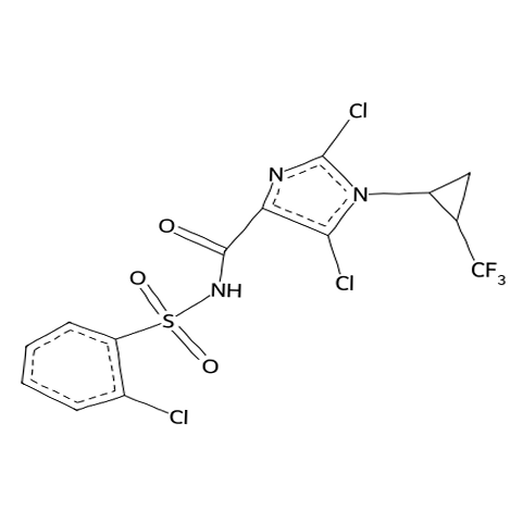 O=C(NS(=O)(=O)c1ccccc1Cl)c1nc(Cl)n(C2CC2C(F)(F)F)c1Cl